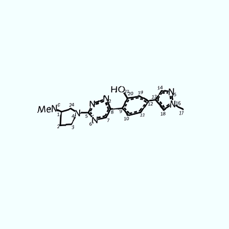 CNC1CCN(c2ncc(-c3ccc(-c4cnn(C)c4)cc3O)nn2)C1